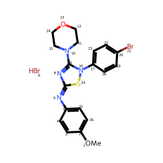 Br.COc1ccc(N=c2nc(N3CCOCC3)n(-c3ccc(Br)cc3)s2)cc1